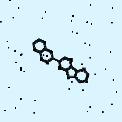 c1ccc2cc(-c3cnc4c(n3)sc3cncnc34)ncc2c1